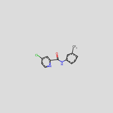 O=C(Nc1cccc(C(F)(F)F)c1)c1cc(Cl)ccn1